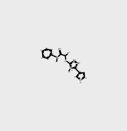 CN(C(=O)C(F)Sc1nnc(-c2ccoc2)n1C)c1ccccc1